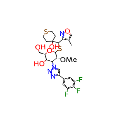 CO[C@@H]1[C@@H](n2cc(-c3cc(F)c(F)c(F)c3)nn2)[C@@H](O)[C@@H](CO)O[C@H]1S[C@H](c1nocc1C)C1(O)CCSCC1